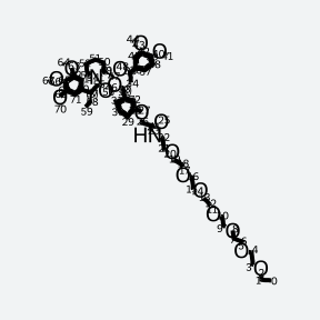 CCOCCOCCOCCOCCOCCOCCOCCNC(=O)COc1cccc([C@@H](CCc2ccc(OC)c(OC)c2)OC(=O)[C@@H]2CCCCN2C(=O)[C@@H](CC)c2cc(OC)c(OC)c(OC)c2)c1